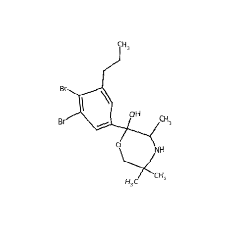 CCCc1cc(C2(O)OCC(C)(C)NC2C)cc(Br)c1Br